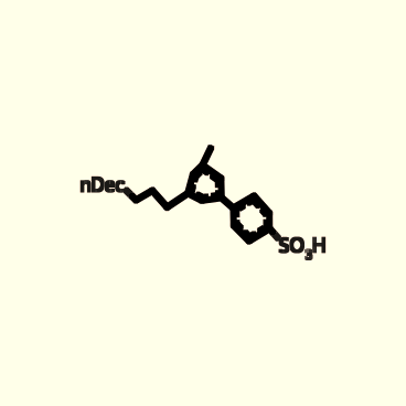 CCCCCCCCCCCCCc1cc(C)cc(-c2ccc(S(=O)(=O)O)cc2)c1